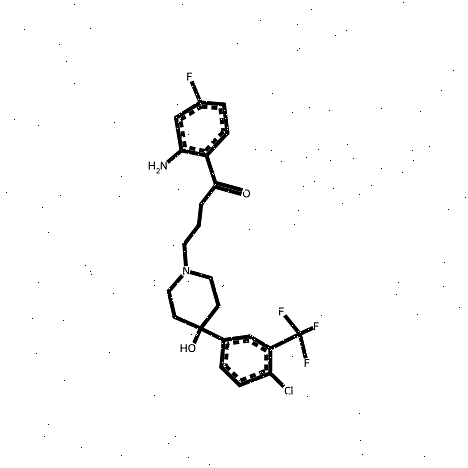 Nc1cc(F)ccc1C(=O)CCCN1CCC(O)(c2ccc(Cl)c(C(F)(F)F)c2)CC1